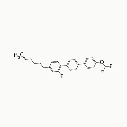 C=CCCCCc1ccc(-c2ccc(-c3ccc(OC(F)F)cc3)cc2)c(F)c1